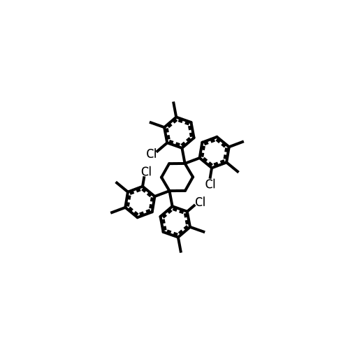 Cc1ccc(C2(c3ccc(C)c(C)c3Cl)CCC(c3ccc(C)c(C)c3Cl)(c3ccc(C)c(C)c3Cl)CC2)c(Cl)c1C